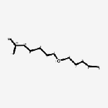 CCCCCOCCCCCC(C)C